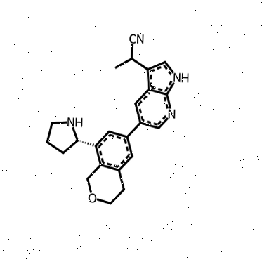 CC(C#N)c1c[nH]c2ncc(-c3cc4c(c([C@@H]5CCCN5)c3)COCC4)cc12